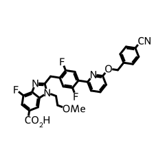 COCCn1c(Cc2cc(F)c(-c3cccc(OCc4ccc(C#N)cc4)n3)cc2F)nc2c(F)cc(C(=O)O)cc21